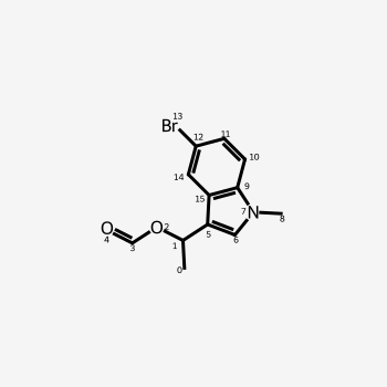 CC(OC=O)c1cn(C)c2ccc(Br)cc12